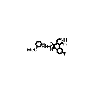 COc1cccc(CNc2nc3c4ccc(F)cc4c4c(=O)[nH]ccc4c3o2)c1